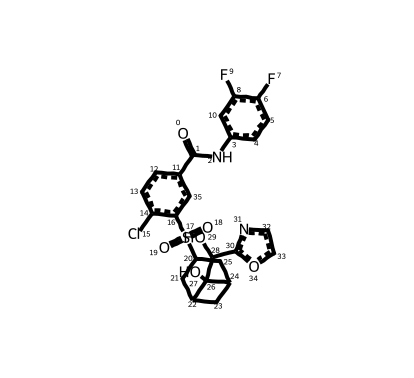 O=C(Nc1ccc(F)c(F)c1)c1ccc(Cl)c(S(=O)(=O)C2CC3CC(C2)C3(O)C(O)c2ncco2)c1